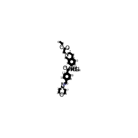 CCOC(=O)CN1CCc2ccc(NC(=O)c3ccc(/C=N/N4CCOCC4)cc3)cc2C1.Cl.Cl